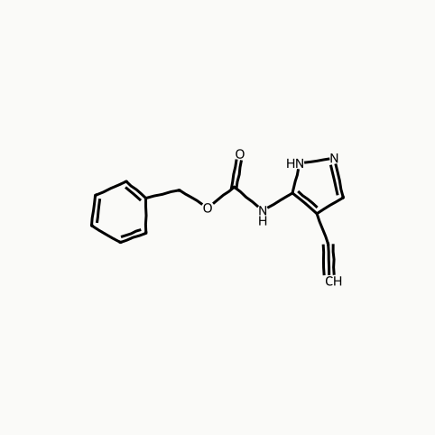 C#Cc1cn[nH]c1NC(=O)OCc1ccccc1